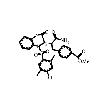 COC(=O)c1ccc(CC(C(N)=O)[C@@H]2C(=O)Nc3ccccc3N2S(=O)(=O)c2cc(C)c(Cl)cc2C)cc1